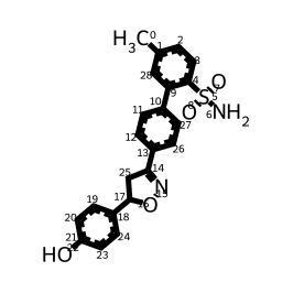 Cc1ccc(S(N)(=O)=O)c(-c2ccc(C3=NOC(c4ccc(O)cc4)C3)cc2)c1